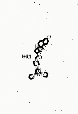 C[C@]12CCC(=O)C=C1CC[C@@H]1C2=CC[C@]2(C)[C@@H](C(=O)CN3CCN(c4cc(N5CCCC5)nc(N5CCCC5)n4)CC3)CC[C@@H]12.Cl.Cl